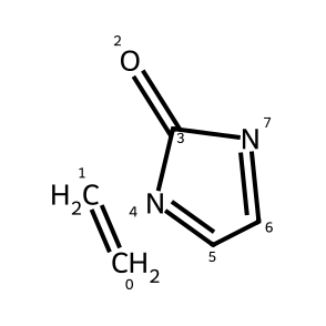 C=C.O=C1N=CC=N1